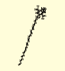 C#CC#CC#CC#CC#CC#CC#CC#CC#CC#CC#CC#CCOc1c(C)c(C(C)C)c2nsnc2c1C(C)C